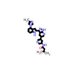 Cc1cn(-c2cccc3[nH]c(-c4n[nH]c5ncc(-c6cncc(NC(=O)CC(C)C)c6)cc45)cc23)cn1